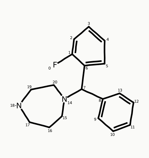 Fc1ccccc1C(c1ccccc1)N1CCC[N]CC1